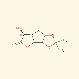 CC1(C)OC2CC3C(OC(=O)[C@H]3O)C2O1